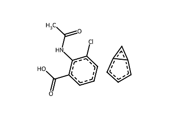 CC(=O)Nc1c(Cl)cccc1C(=O)O.c1cc2cc-2c1